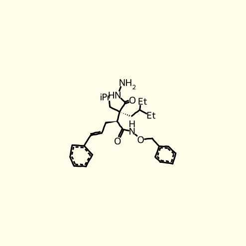 CCC(CC)C[C@](CC(C)C)(C(=O)NN)[C@H](CC=Cc1ccccc1)C(=O)NOCc1ccccc1